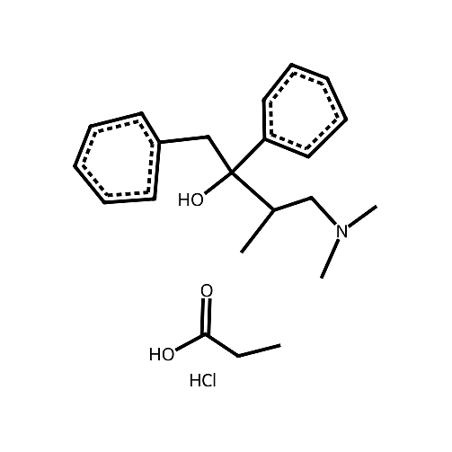 CC(CN(C)C)C(O)(Cc1ccccc1)c1ccccc1.CCC(=O)O.Cl